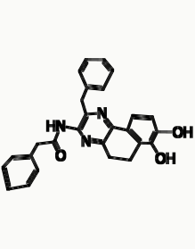 O=C(Cc1ccccc1)Nc1nc2c(nc1Cc1ccccc1)-c1ccc(O)c(O)c1CC2